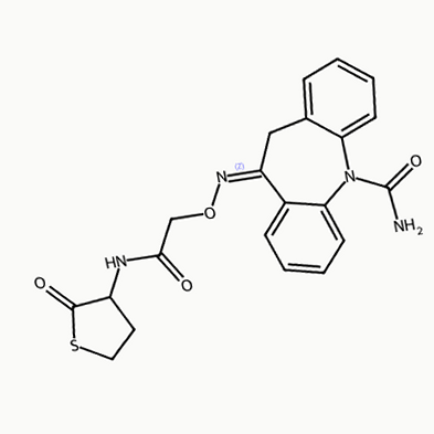 NC(=O)N1c2ccccc2C/C(=N/OCC(=O)NC2CCSC2=O)c2ccccc21